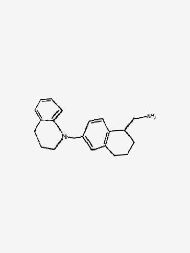 NCC1CCCc2cc(N3CCCc4ccccc43)ccc21